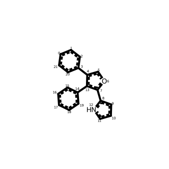 c1ccc(-c2coc(-c3ccc[nH]3)c2-c2ccccc2)cc1